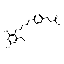 CCc1nc(N)nc(N)c1OCCCOc1ccc(CCC(=O)O)cc1